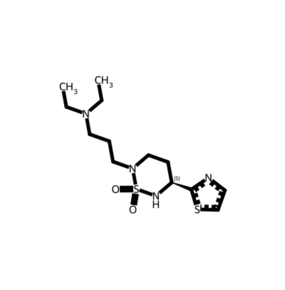 CCN(CC)CCCN1CC[C@@H](c2nccs2)NS1(=O)=O